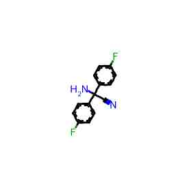 N#CC(N)(c1ccc(F)cc1)c1ccc(F)cc1